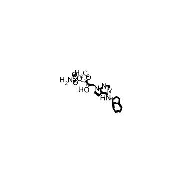 CO[C@@H](COS(N)(=O)=O)[C@@H](O)Cn1ccc2c(N[C@H]3CCc4ccccc43)ncnc21